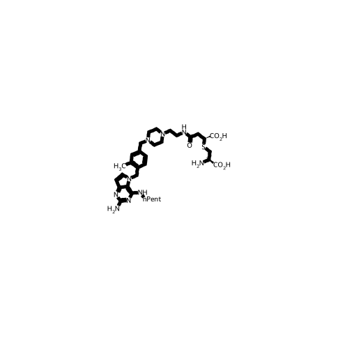 CCCCCNc1nc(N)nc2ccn(Cc3ccc(CN4CCN(CCNC(=O)C[C@@H](SC[C@H](N)C(=O)O)C(=O)O)CC4)cc3C)c12